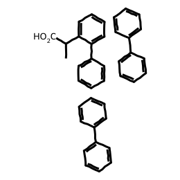 CC(C(=O)O)c1ccccc1-c1ccccc1.c1ccc(-c2ccccc2)cc1.c1ccc(-c2ccccc2)cc1